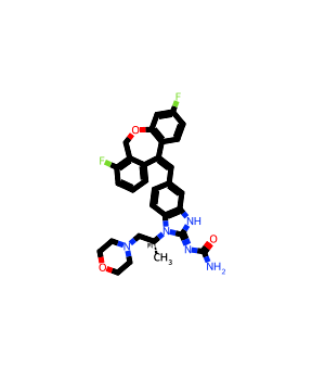 C[C@H](CN1CCOCC1)n1c(=NC(N)=O)[nH]c2cc(C=C3c4ccc(F)cc4OCc4c(F)cccc43)ccc21